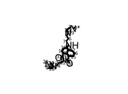 C[n+]1ccn(CCCNc2ccc3c4c(cccc24)C(=O)N(CCCn2cc[n+](C)c2)C3=O)c1